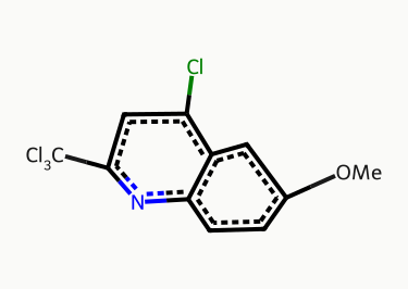 COc1ccc2nc(C(Cl)(Cl)Cl)cc(Cl)c2c1